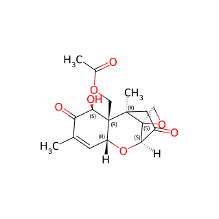 CC(=O)OC[C@]12[C@H](O)C(=O)C(C)=C[C@H]1O[C@@H]1C(=O)C[C@@]2(C)[C@]12CO2